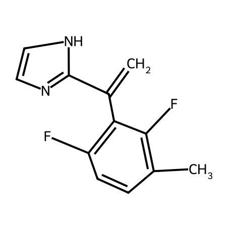 C=C(c1ncc[nH]1)c1c(F)ccc(C)c1F